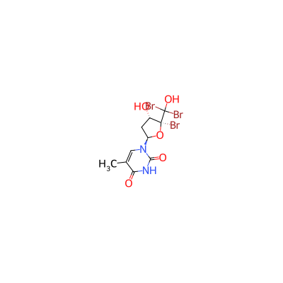 Cc1cn([C@H]2C[C@H](O)[C@@](Br)(C(O)(Br)Br)O2)c(=O)[nH]c1=O